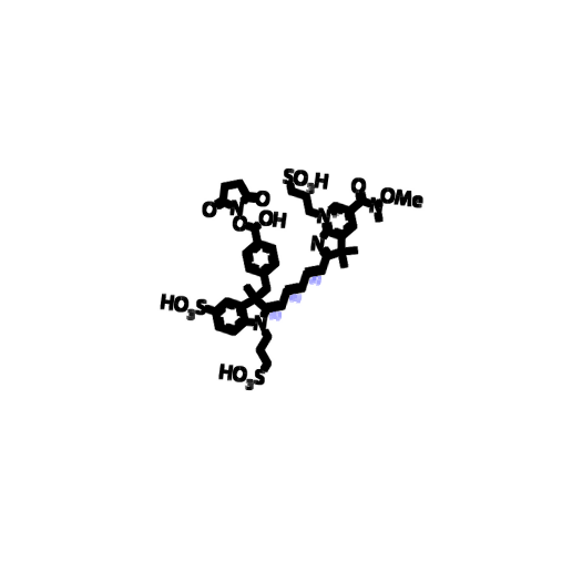 CON(C)C(=O)c1cc2c([n+](CCCS(=O)(=O)O)c1)N=C(/C=C/C=C/C=C1/N(CCCS(=O)(=O)O)c3ccc(S(=O)(=O)O)cc3C1(C)Cc1ccc(C(O)ON3C(=O)CCC3=O)cc1)C2(C)C